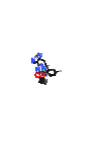 Cc1ccc(F)c([C@]2(C)Cc3ncncc3/C(=N/C(=O)OC(C)(C)C)N2)c1